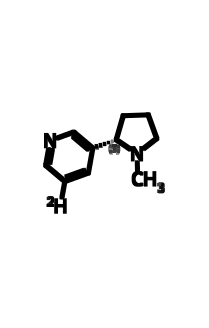 [2H]c1cncc([C@@H]2CCCN2C)c1